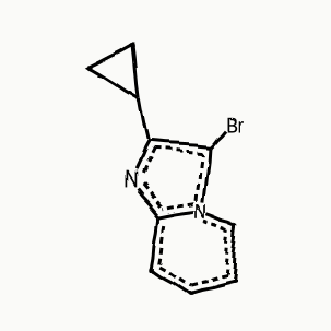 Brc1c(C2CC2)nc2ccccn12